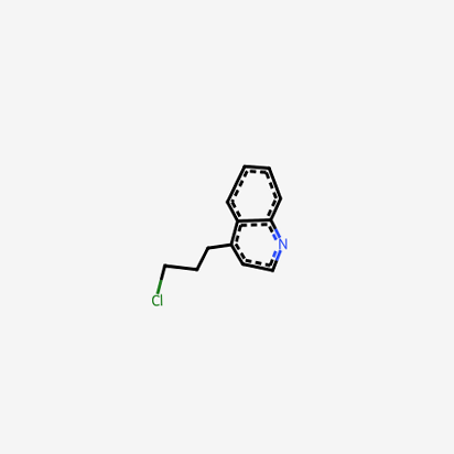 ClCCCc1ccnc2ccccc12